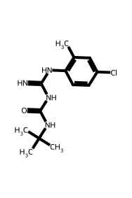 Cc1cc(Cl)ccc1NC(=N)NC(=O)NC(C)(C)C